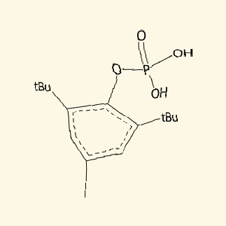 Cc1cc(C(C)(C)C)c(OP(=O)(O)O)c(C(C)(C)C)c1